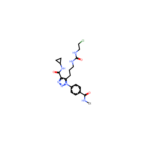 CCNC(=O)c1ccc(-n2nnc(C(=O)NC3CC3)c2CCCNC(=O)NCCCl)cc1